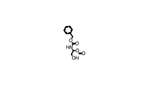 O=COC(CO)NC(=O)OCc1ccccc1